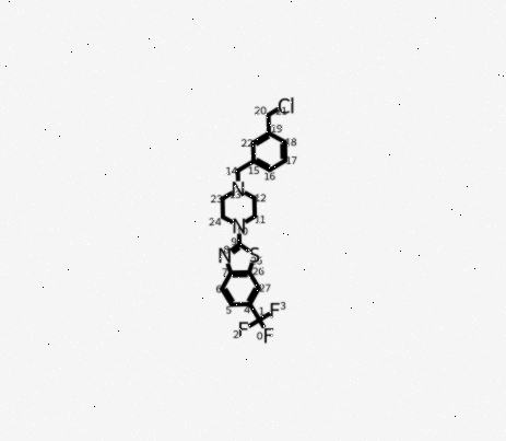 FC(F)(F)c1ccc2nc(N3CCN(Cc4cccc(CCl)c4)CC3)sc2c1